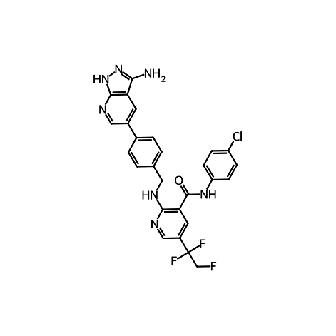 Nc1n[nH]c2ncc(-c3ccc(CNc4ncc(C(F)(F)CF)cc4C(=O)Nc4ccc(Cl)cc4)cc3)cc12